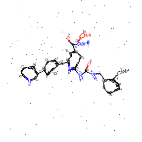 COc1ccccc1CNC(=O)Nc1cc(C(=O)NO)cc(-c2ccc(-c3cccnc3)cc2)n1